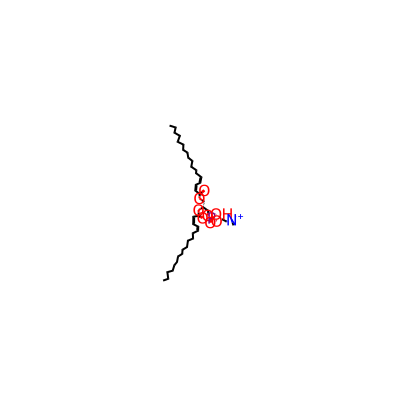 CCCCCCCCCCCCC/C=C\C=C/C(=O)OC[C@H](COP(=O)(O)OCC[N+](C)(C)C)OC(=O)/C=C\C=C/CCCCCCCCCCCCC